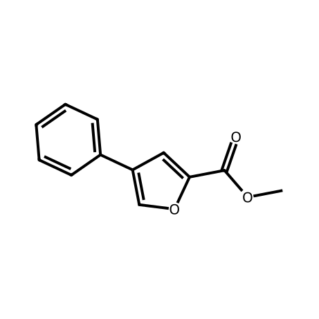 COC(=O)c1cc(-c2ccccc2)co1